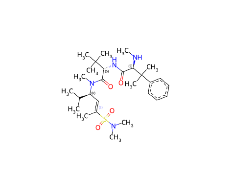 CN[C@H](C(=O)N[C@H](C(=O)N(C)[C@@H](/C=C(\C)S(=O)(=O)N(C)C)C(C)C)C(C)(C)C)C(C)(C)c1ccccc1